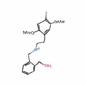 COc1cc(CCNCc2ccccc2CO)c(OC)cc1I